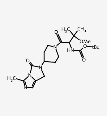 COC(C)(C)C(NC(=O)OC(C)(C)C)C(=O)N1CCC(N2Cc3cnc(C)n3C2=O)CC1